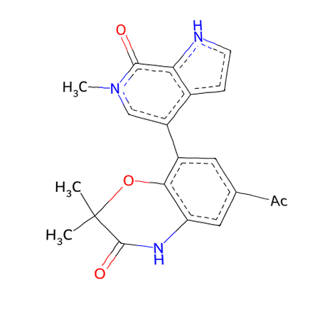 CC(=O)c1cc2c(c(-c3cn(C)c(=O)c4[nH]ccc34)c1)OC(C)(C)C(=O)N2